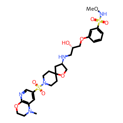 CONS(=O)(=O)c1cccc(OC[C@@H](O)CN[C@H]2COC3(CCN(S(=O)(=O)c4cnc5c(c4)N(C)CCO5)CC3)C2)c1